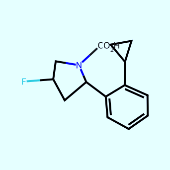 O=C(O)N1CC(F)CC1c1ccccc1C1CC1